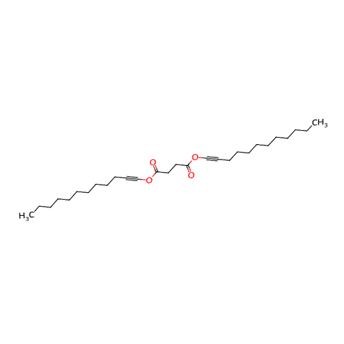 CCCCCCCCCCC#COC(=O)CCC(=O)OC#CCCCCCCCCCC